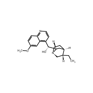 CC[C@@H]1C[N@@]2CC[C@@H]1C[C@H]2[C@H](O)c1ccnc2ccc(OC)cc12